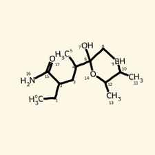 CCC(CC(C)C1(O)CBC(C)C(C)O1)C(N)=O